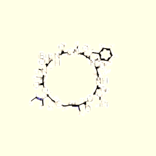 C/C=C(\C)[C@H]1OC(=O)[C@@H](C)N(C)C(=O)[C@H](C(C)CC)NC(=O)CN(C)C(=O)[C@@H](Cc2ccccc2)N(C)C(=O)[C@H](C)NC(=O)[C@@H](CC(C)C)OC(=O)/C(C)=C/CC[C@@H]1C